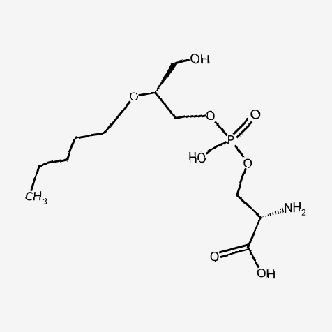 CCCCCO[C@@H](CO)COP(=O)(O)OC[C@H](N)C(=O)O